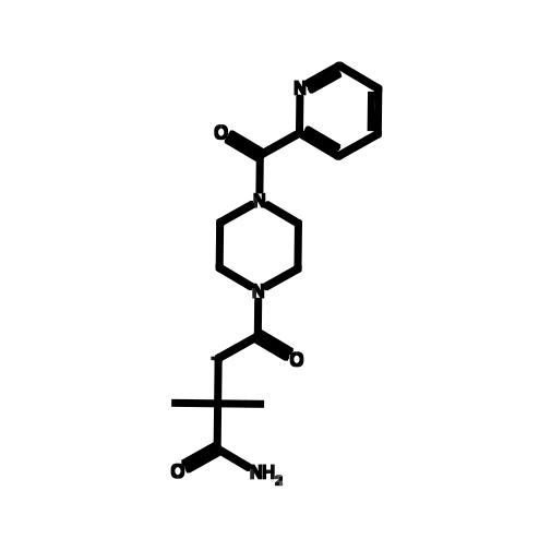 CC(C)([CH]C(=O)N1CCN(C(=O)c2ccccn2)CC1)C(N)=O